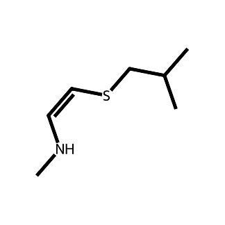 CN/C=C\SCC(C)C